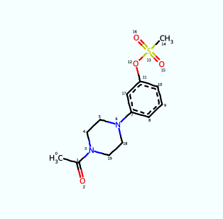 CC(=O)N1CCN(c2cccc(OS(C)(=O)=O)c2)CC1